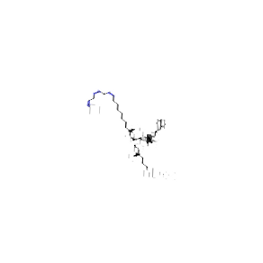 CC/C=C\C/C=C\C/C=C\CCCCCCCC(=O)O[C@H](COC(=O)CCCCCCCCCCCCC)COP(=O)([O-])OCC[N+](C)(C)C